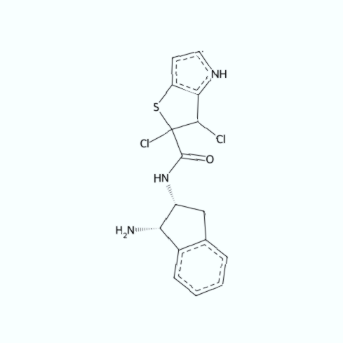 N[C@H]1c2ccccc2C[C@H]1NC(=O)C1(Cl)Sc2c[c][nH]c2C1Cl